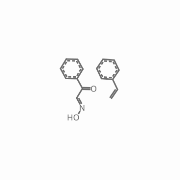 C=Cc1ccccc1.O=C(C=NO)c1ccccc1